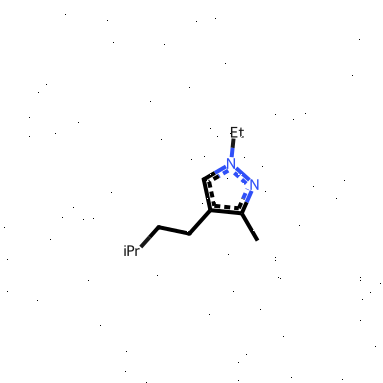 CCn1cc(CCC(C)C)c(C)n1